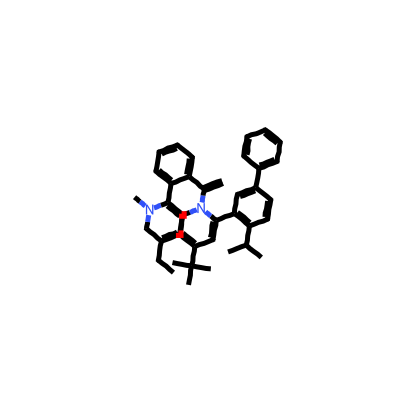 C=C(c1ccccc1C1=CC=C(CC)CN1C)N1CC=C(C(C)(C)C)C=C1c1cc(-c2ccccc2)ccc1C(C)C